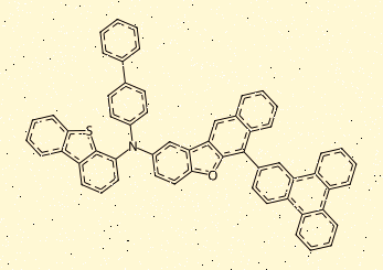 c1ccc(-c2ccc(N(c3ccc4oc5c(-c6ccc7c8ccccc8c8ccccc8c7c6)c6ccccc6cc5c4c3)c3cccc4c3sc3ccccc34)cc2)cc1